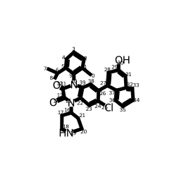 Cc1cccc(C(C)C)c1-n1c(=O)c(=O)n(C2CCNCC2)c2cc(Cl)c(-c3cc(O)cc4ccccc34)cc21